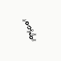 N#Cc1ccc(N2CCC(C(=O)NN=Cc3ccc(O)cc3O)CC2)cc1